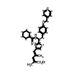 CCOC(=O)/C(C)=C\C(C)=C\c1csc([C@H](Cc2ccc(OCc3ccncc3)cc2)NC(=O)C2CCCCC2)n1